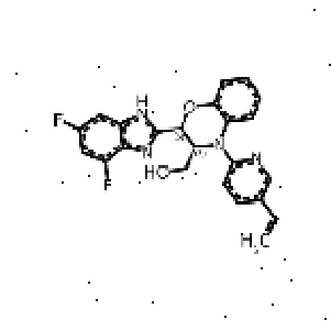 C=Cc1ccc(N2c3ccccc3O[C@H](c3nc4c(F)cc(F)cc4[nH]3)[C@@H]2CO)nc1